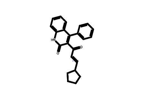 O=C(/C=C/C1CCCC1)c1c(-c2ccccc2)c2ccccc2[nH]c1=O